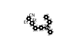 CCc1ccc(C#N)cc1C1C=CC(c2cccc(-c3ccc(-c4nc(-c5ccccc5)nc(-c5cccc(-c6ccccc6)c5)n4)cc3)c2)=CC1CC